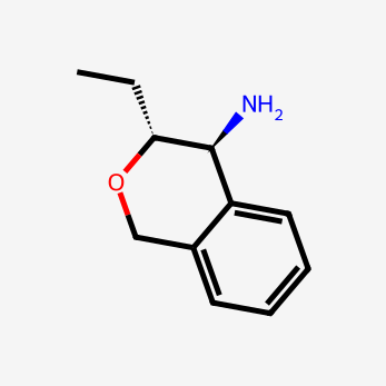 CC[C@H]1OCc2ccccc2[C@@H]1N